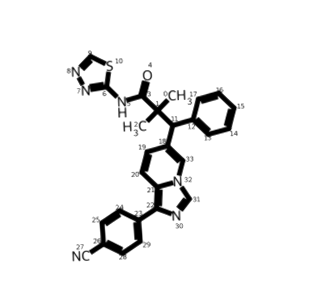 CC(C)(C(=O)Nc1nncs1)C(c1ccccc1)c1ccc2c(-c3ccc(C#N)cc3)ncn2c1